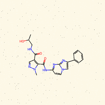 CC(O)CNC(=O)c1cnn(C)c1C(=O)Nc1ccn2cc(-c3ccccc3)nc2n1